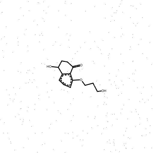 O=C1CCC(O)c2cccc(OCCCO)c21